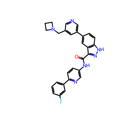 O=C(Nc1ccc(-c2cccc(F)c2)nc1)c1n[nH]c2ccc(-c3cncc(CN4CCC4)c3)cc12